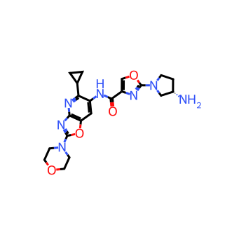 N[C@H]1CCN(c2nc(C(=O)Nc3cc4oc(N5CCOCC5)nc4nc3C3CC3)co2)C1